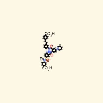 CCN(C1CCC(C(=O)O)CC1)[S+]([O-])c1cccc(C(=O)Nc2ccc(N3CCCCC3)cc2C(=O)Nc2cccc(CCc3ccc(C(=O)O)cc3)c2)c1